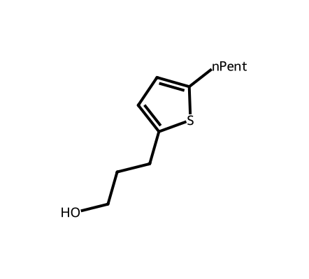 CCCCCc1ccc(CCCO)s1